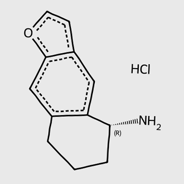 Cl.N[C@@H]1CCCc2cc3occc3cc21